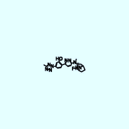 Cc1nnn(-c2ccc(-c3ccc(N(C)[C@@H]4CC5CCC(N5)[C@H]4F)nn3)c(O)c2)n1